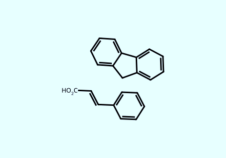 O=C(O)C=Cc1ccccc1.c1ccc2c(c1)Cc1ccccc1-2